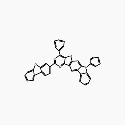 c1ccc(-c2nc(-c3ccc4c(c3)oc3ccccc34)nc3c2oc2cc4c(cc23)c2ccccc2n4-c2ccccc2)cc1